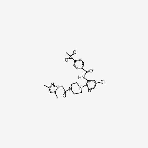 Cc1cc(C)n(CC(=O)N2CCN(c3ncc(Cl)cc3NC(=O)c3ccc(S(C)(=O)=O)cc3)CC2)n1